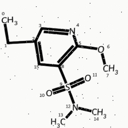 CCc1cnc(OC)c(S(=O)(=O)N(C)C)c1